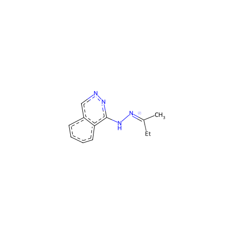 CC/C(C)=N\Nc1nncc2ccccc12